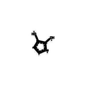 Oc1cc[se]c1O